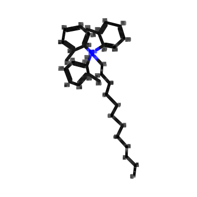 CCCCCCCCCCCC[N+](c1ccccc1C)(c1ccccc1C)c1ccccc1C